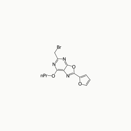 CCCOc1nc(CBr)nc2oc(-c3ccco3)nc12